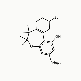 CCCCCCCc1cc(O)c2c(c1)OC(C)(C)C(C)(C)C1=C2CC(CC)CC1